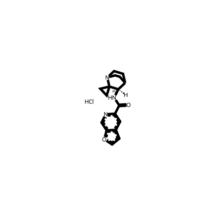 Cl.O=C(N[C@@H]1C2CCN(CC2)C12CC2)c1cc2ccoc2cn1